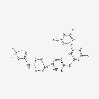 [CH2]c1cc(Oc2ccc(N3CCC(NC(=O)OC(C)(C)C)CC3)nc2)nc(-c2cc(C)cc(Cl)c2)c1